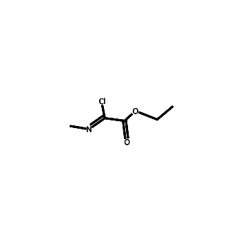 CCOC(=O)/C(Cl)=N/C